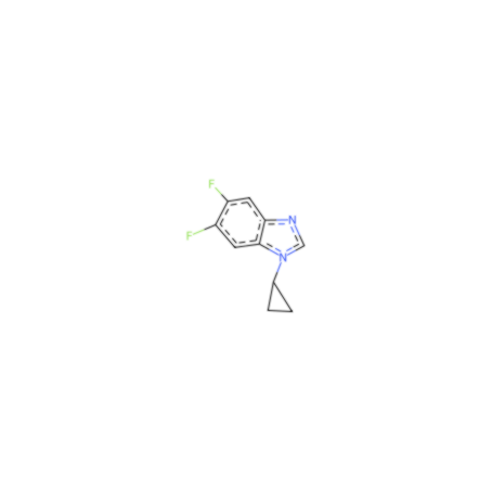 Fc1cc2ncn(C3CC3)c2cc1F